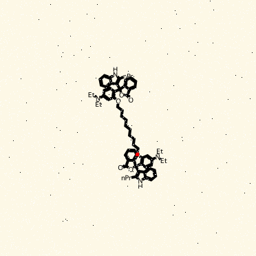 CCCc1[nH]c2ccccc2c1C1(c2ccc(N(CC)CC)cc2OCCCCCCCCCCOc2cc(N(CC)CC)ccc2C2(c3c(CCC)[nH]c4ccccc34)OC(=O)c3ccccc32)OC(=O)c2ccccc21